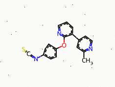 Cc1cc(-c2cccnc2Oc2ccc(N=C=S)cc2)ccn1